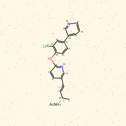 CC(=O)N[C@@H](C)/C=C/c1ccc(Oc2ccc(-c3cccnc3)cc2Cl)nc1